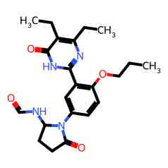 CCCOc1ccc(N2C(=O)CCC2NC=O)cc1-c1nc(CC)c(CC)c(=O)[nH]1